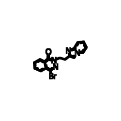 O=c1c2ccccc2c(Br)nn1CCc1cn2ccccc2n1